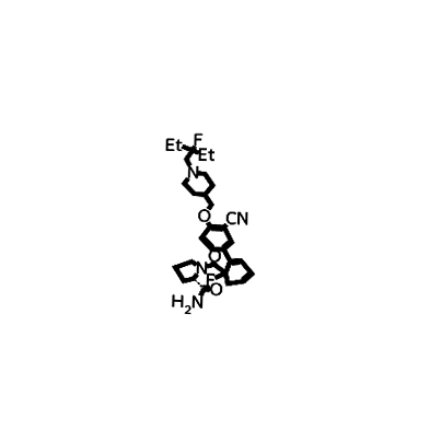 CCC(F)(CC)CN1CCC(COc2ccc(C3=CC=CCC3(F)C(=O)N3CCC[C@H]3C(N)=O)cc2C#N)CC1